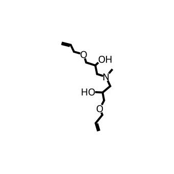 C=CCOCC(O)CN(C)CC(O)COCC=C